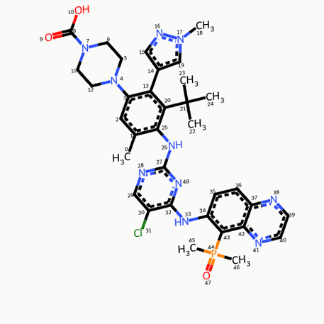 Cc1cc(N2CCN(C(=O)O)CC2)c(-c2cnn(C)c2)c(C(C)(C)C)c1Nc1ncc(Cl)c(Nc2ccc3nccnc3c2P(C)(C)=O)n1